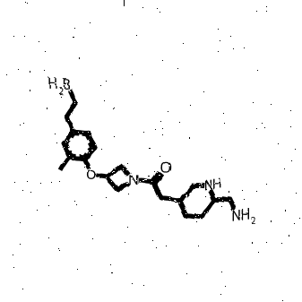 BCCc1ccc(OC2CN(C(=O)CC3CCC(CN)NC3)C2)c(C)c1